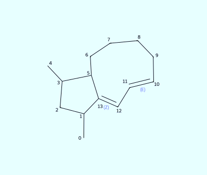 CC1CC(C)C2CCCC/C=C/C=C/12